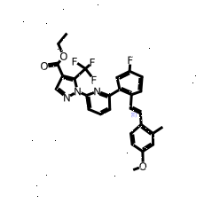 CCOC(=O)c1cnn(-c2cccc(-c3cc(F)ccc3/C=C/c3ccc(OC)cc3C)n2)c1C(F)(F)F